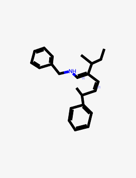 CCC(C)C(/C=C\C(C)c1ccccc1)=C\NCc1ccccc1